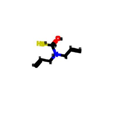 C=CCN(CC=C)C(=O)S